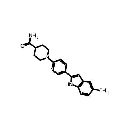 Cc1ccc2[nH]c(-c3ccc(N4CCC(C(N)=O)CC4)nc3)cc2c1